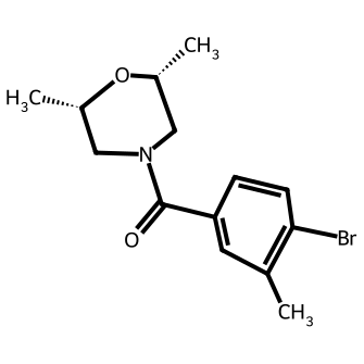 Cc1cc(C(=O)N2C[C@@H](C)O[C@@H](C)C2)ccc1Br